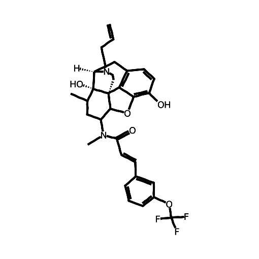 C=CCN1CC[C@]23c4c5ccc(O)c4OC2C(N(C)C(=O)/C=C/c2cccc(OC(F)(F)F)c2)CC(C)[C@@]3(O)[C@H]1C5